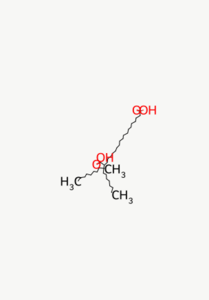 CCCCCCCCC(C)(CCCCCCCC)C(CCCCCCCCCCCCCCCCCC(=O)O)C(=O)O